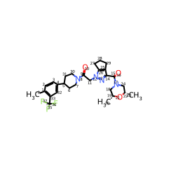 Cc1ccc(C2CCN(C(=O)Cn3nc(C(=O)N4C[C@@H](C)O[C@@H](C)C4)c4c3CCC4)CC2)cc1C(F)(F)F